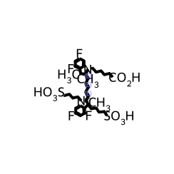 CC1(CCCCS(=O)(=O)O)C(/C=C/C=C/C=C2/N(CCCCCC(=O)O)c3cc(F)cc(F)c3C2(C)C)=[N+](CCCCS(=O)(=O)O)c2cc(F)cc(F)c21